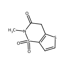 CN1C(=O)Cc2sccc2S1(=O)=O